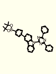 CC1(C)OB(c2ccc(-c3ccc4c(c3)c3ccccc3n4-c3nc(-c4ccccc4)nc(-c4ccccc4)n3)cc2)OC1(C)C